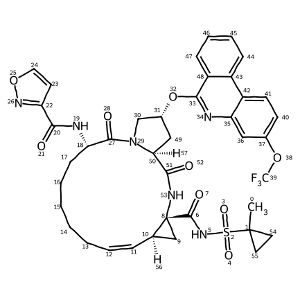 CC1(S(=O)(=O)NC(=O)[C@@]23C[C@H]2/C=C\CCCCC[C@H](NC(=O)c2ccon2)C(=O)N2C[C@H](Oc4nc5cc(OC(F)(F)F)ccc5c5ccccc45)C[C@H]2C(=O)N3)CC1